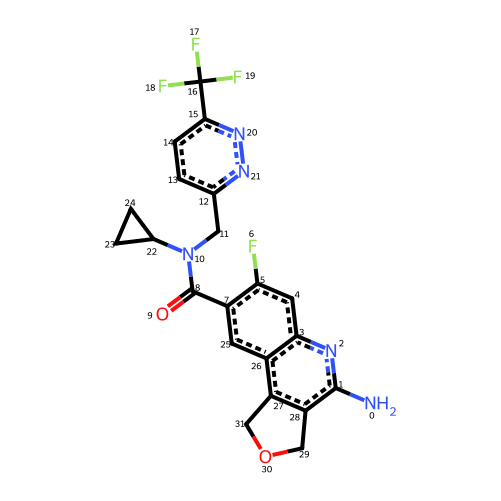 Nc1nc2cc(F)c(C(=O)N(Cc3ccc(C(F)(F)F)nn3)C3CC3)cc2c2c1COC2